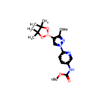 CCCCOC(=O)Nc1ccc(-n2cc(B3OC(C)(C)C(C)(C)O3)c(OC)n2)nc1